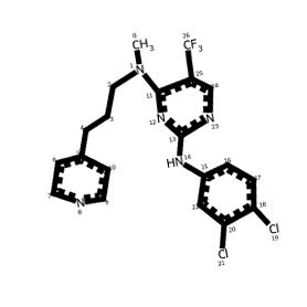 CN(CCCc1ccncc1)c1nc(Nc2ccc(Cl)c(Cl)c2)ncc1C(F)(F)F